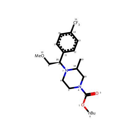 CCCCOC(=O)N1CCN([C@@H](COC)c2ccc(C(F)(F)F)cc2)C(C)C1